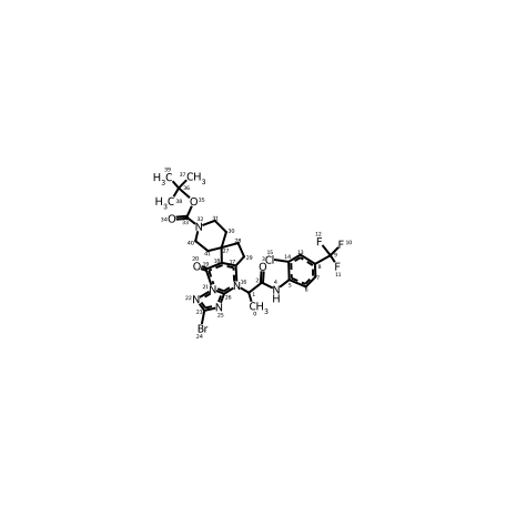 CC(C(=O)Nc1ccc(C(F)(F)F)cc1Cl)n1c2c(c(=O)n3nc(Br)nc13)C1(CC2)CCN(C(=O)OC(C)(C)C)CC1